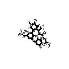 COC(=O)CNC(=O)C1c2c[nH]c3c(=O)n(C)cc(c23)-c2cc(CS(C)(=O)=O)ccc2N1c1ccc(F)cc1F